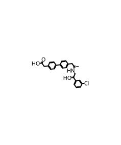 C[C@H](Cc1ccc(-c2ccc(CC(=O)O)cc2)cc1)NC[C@H](O)c1cccc(Cl)c1